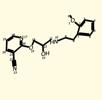 COc1ccccc1CCNCC(O)COc1ncccc1C#N